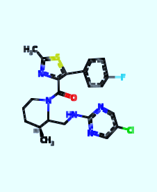 Cc1nc(C(=O)N2CCC[C@H](C)C2CNc2ncc(Cl)cn2)c(-c2ccc(F)cc2)s1